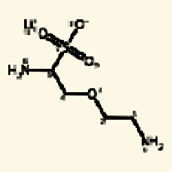 NCCOCC(N)S(=O)(=O)[O-].[Li+]